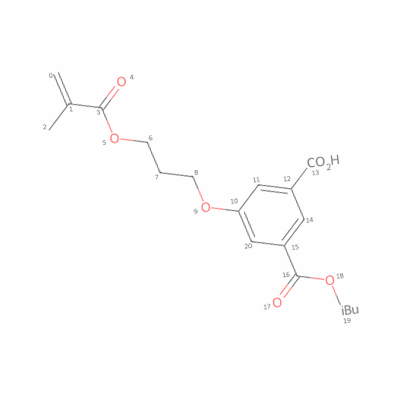 C=C(C)C(=O)OCCCOc1cc(C(=O)O)cc(C(=O)OC(C)CC)c1